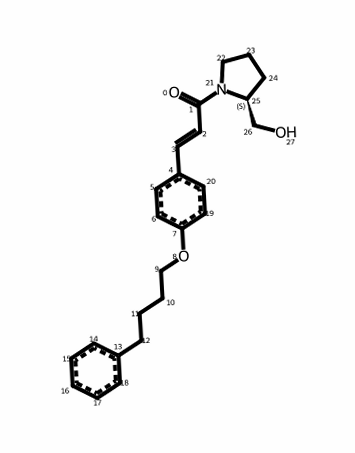 O=C(C=Cc1ccc(OCCCCc2ccccc2)cc1)N1CCC[C@H]1CO